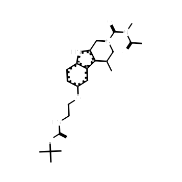 CC(=O)N(C)C(=O)N1Cc2[nH]c3ccc(OCCNC(=O)OC(C)(C)C)cc3c2C(C)C1